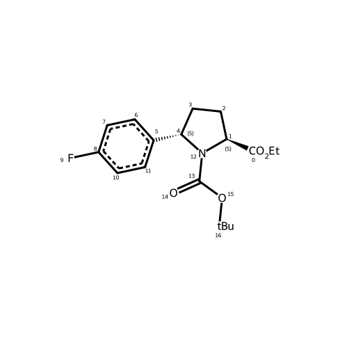 CCOC(=O)[C@@H]1CC[C@@H](c2ccc(F)cc2)N1C(=O)OC(C)(C)C